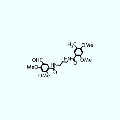 COc1cc(OC)c(C(=O)NCCCNC(=O)c2cc(C=O)c(OC)cc2OC)cc1C